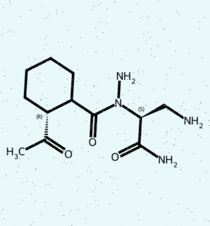 CC(=O)[C@@H]1CCCCC1C(=O)N(N)[C@@H](CN)C(N)=O